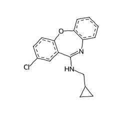 Clc1ccc2c(c1)C(NCC1CC1)=Nc1ccccc1O2